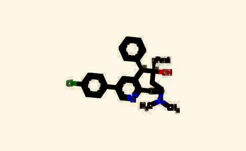 CCCCC[C@](O)(CCN(C)C)[C@H](c1ccccc1)c1cc(-c2ccc(Cl)cc2)cnc1OC